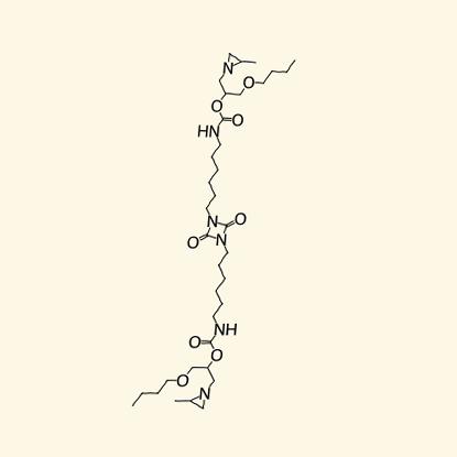 CCCCOCC(CN1CC1C)OC(=O)NCCCCCCN1C(=O)N(CCCCCCNC(=O)OC(COCCCC)CN2CC2C)C1=O